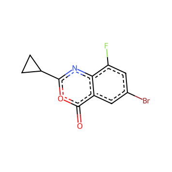 O=c1oc(C2CC2)nc2c(F)cc(Br)cc12